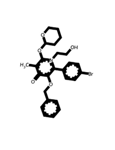 Cc1c(OC2CCCCO2)n(CCO)c(-c2ccc(Br)cc2)c(OCc2ccccc2)c1=O